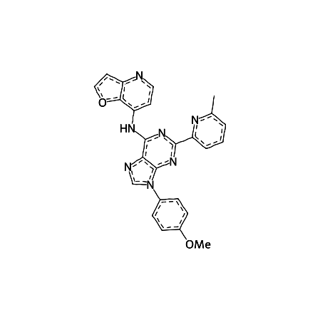 COc1ccc(-n2cnc3c(Nc4ccnc5ccoc45)nc(-c4cccc(C)n4)nc32)cc1